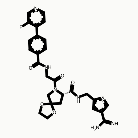 N=C(N)c1csc(CNC(=O)[C@@H]2CC3(CN2C(=O)CNC(=O)c2ccc(-c4ccncc4F)cc2)OCCO3)c1